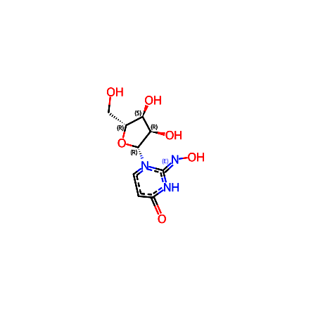 O=c1ccn([C@@H]2O[C@H](CO)[C@@H](O)[C@H]2O)/c(=N/O)[nH]1